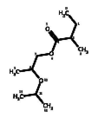 CCC(C)C(=O)OCC(C)OC(C)C